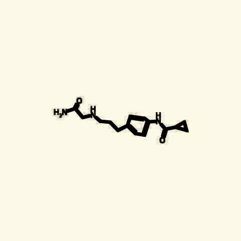 NC(=O)CNCCCc1ccc(NC(=O)C2CC2)cc1